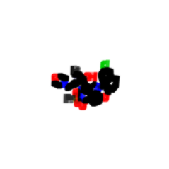 CC/C=C/[C@](O)(C#CCN1CCOCC1)[C@@H]1CC[C@H]1CN1C[C@@]2(CCCc3cc(Cl)ccc32)COc2ccc(C(=O)NS(=O)(=O)C(C)C)cc21